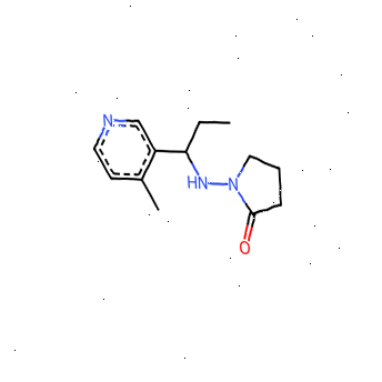 CCC(NN1CCCC1=O)c1cnccc1C